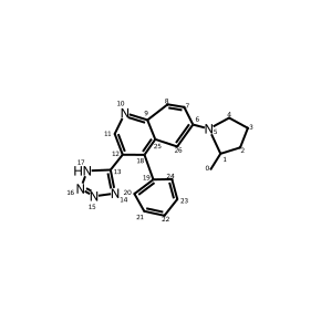 CC1CCCN1c1ccc2ncc(-c3nnn[nH]3)c(-c3ccccc3)c2c1